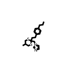 CCCc1ccc(CCC2(Cn3ccnc3)SCC(C)CS2)cc1